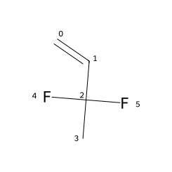 C=CC(C)(F)F